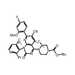 COc1cc(F)ccc1-c1nc2c(cc1C#N)c(N1CCN(C(=O)OC(C)(C)C)C[C@@H]1C)nc(=O)n2-c1c(C)ccnc1C(C)C